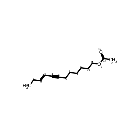 CCC=CC#CCCCCCCOC(C)=O